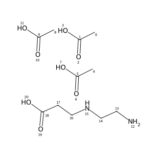 CC(=O)O.CC(=O)O.CC(=O)O.NCCNCCC(=O)O